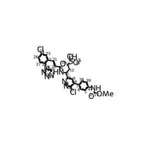 COC(=O)Nc1ccc(-c2cc(C(CC[S+](C)[O-])NC(=O)C=Cc3cc(Cl)ccc3-n3cnnn3)nnc2Cl)cc1